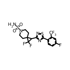 NS(=O)(=O)N1CCC2(CC1)C(c1nsc(-c3ccc(F)cc3C(F)(F)F)n1)C2(F)F